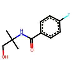 CC(C)(CO)NC(=O)c1ccc(F)cc1